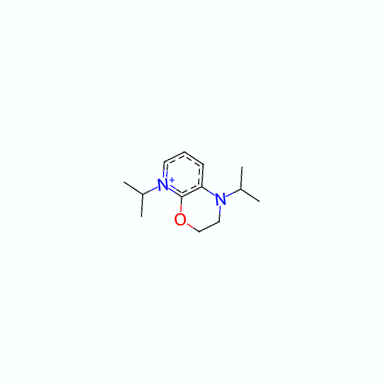 CC(C)N1CCOc2c1ccc[n+]2C(C)C